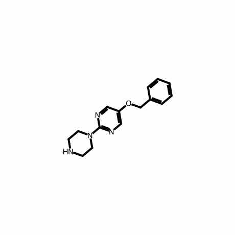 c1ccc(COc2cnc(N3CCNCC3)nc2)cc1